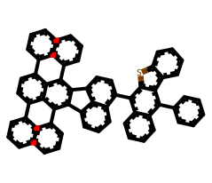 c1ccc(-c2ccc(-c3ccccc3)c3c(-c4ccccc4)c4c(c(-c5ccccc5)c23)-c2cccc3c(-c5c6ccccc6c(-c6ccccc6)c6c5sc5ccccc56)ccc-4c23)cc1